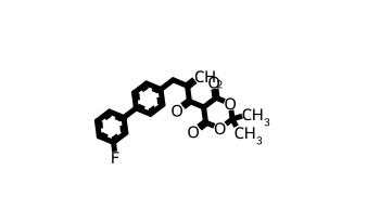 C=C(Cc1ccc(-c2cccc(F)c2)cc1)C(=O)C1C(=O)OC(C)(C)OC1=O